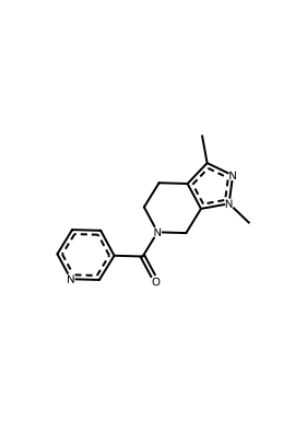 Cc1nn(C)c2c1CCN(C(=O)c1cccnc1)C2